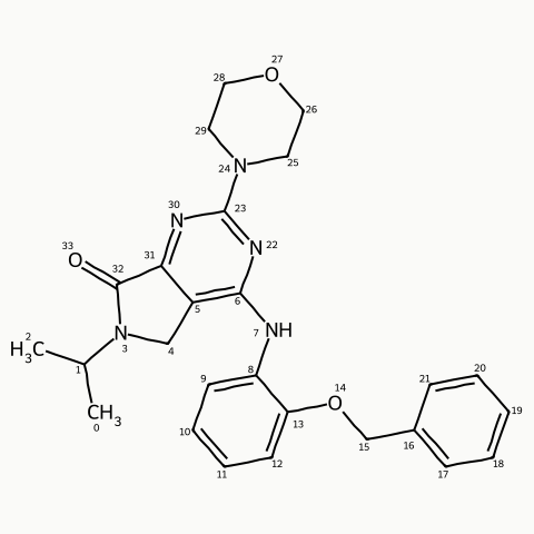 CC(C)N1Cc2c(Nc3ccccc3OCc3ccccc3)nc(N3CCOCC3)nc2C1=O